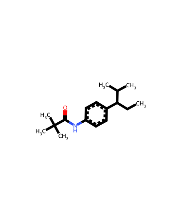 CCC(c1ccc(NC(=O)C(C)(C)C)cc1)C(C)C